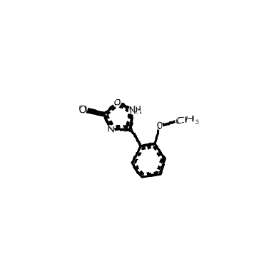 COc1ccccc1-c1nc(=O)o[nH]1